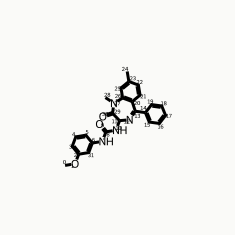 COc1cccc(NC(=O)NC2N=C(c3ccccc3)c3ccc(C)cc3N(C)C2=O)c1